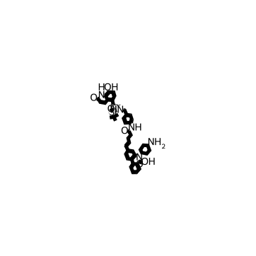 CC(C)(C)[Si](C)(C)O[C@@H](CNCc1ccc(NC(=O)CCC=Cc2ccc(-c3ccccc3)c(N(C(=O)O)[C@H]3CC[C@H](N)CC3)c2)cc1)c1ccc(O)c2[nH]c(=O)ccc12